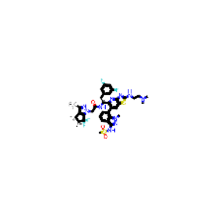 C[C@@H]1c2c(C(F)(F)F)nn(CC(=O)N[C@@H](Cc3cc(F)cc(F)c3)c3nc4nc(NCCN(C)C)sc4cc3-c3cccc4c(NS(C)(=O)=O)nn(C)c34)c2C(F)(F)[C@@H]1C